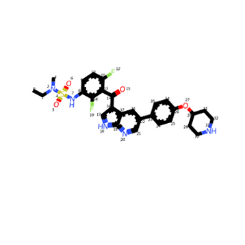 CCN(C)S(=O)(=O)Nc1ccc(F)c(C(=O)c2c[nH]c3ncc(-c4ccc(OC5CCNCC5)cc4)cc23)c1F